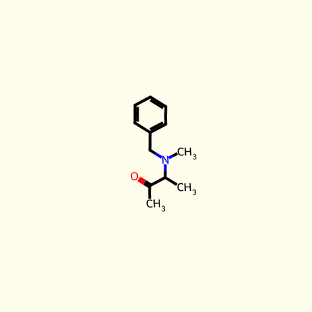 CC(=O)C(C)N(C)Cc1ccccc1